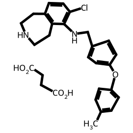 Cc1ccc(Oc2ccc(CNc3c(Cl)ccc4c3CCNCC4)cc2)cc1.O=C(O)CCC(=O)O